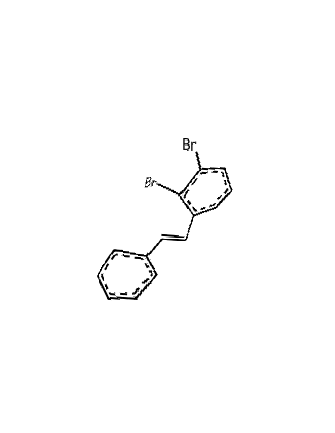 Brc1cccc(C=Cc2ccccc2)c1Br